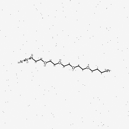 C[C](C)CCCOCCOCCOCCOCCN=[N+]=[N-]